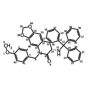 COc1ccc(CN2C(=O)[C@@H](NC(c3ccccc3)(c3ccccc3)c3ccccc3)Cc3cc4c(cc32)OCO4)cc1